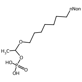 CCCCCCCCCCCCCCCCOC(C)OP(=O)(O)O